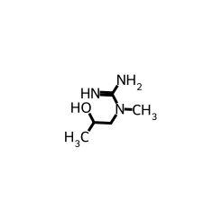 CC(O)CN(C)C(=N)N